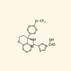 O=C(N[C@]1(c2ccc(OC(F)(F)F)cc2)CCOc2cccnc21)c1cncs1.O=CO